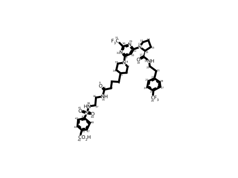 O=C(CCCC1CCN(c2cc(N3CCC[C@H]3C(=O)NCCc3ccc(C(F)(F)F)cc3)nc(C(F)(F)F)n2)CC1)NCCNS(=O)(=O)c1ccc(C(=O)O)cc1